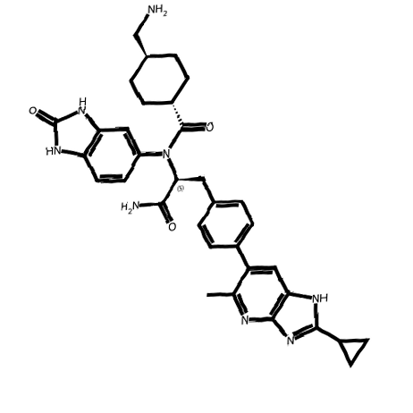 Cc1nc2nc(C3CC3)[nH]c2cc1-c1ccc(C[C@@H](C(N)=O)N(c2ccc3[nH]c(=O)[nH]c3c2)C(=O)[C@H]2CC[C@H](CN)CC2)cc1